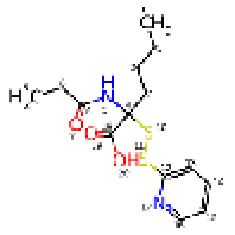 CCCCC(NC(=O)CC)(SSc1ccccn1)C(=O)O